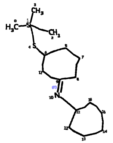 C[Si](C)(C)SC1CCC/C(=N\C2CCCCC2)C1